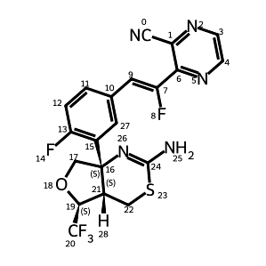 N#Cc1nccnc1C(F)=Cc1ccc(F)c([C@]23CO[C@H](C(F)(F)F)[C@H]2CSC(N)=N3)c1